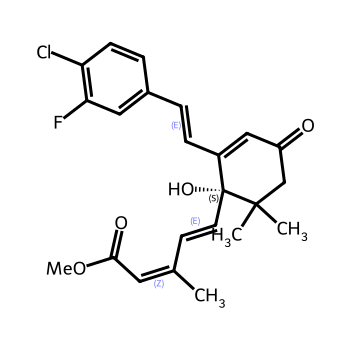 COC(=O)/C=C(C)\C=C\[C@@]1(O)C(/C=C/c2ccc(Cl)c(F)c2)=CC(=O)CC1(C)C